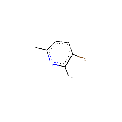 Cc1ccc(Br)c(C(F)(F)F)n1